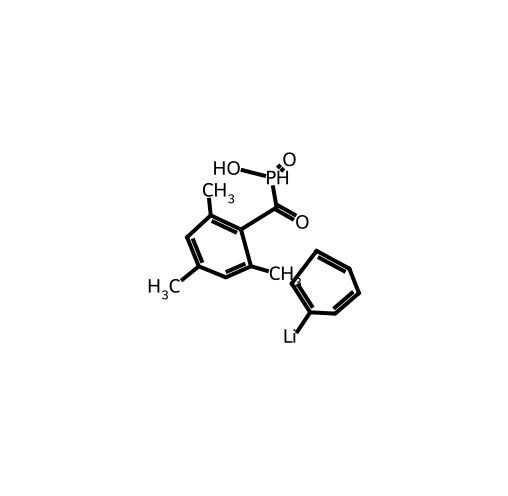 Cc1cc(C)c(C(=O)[PH](=O)O)c(C)c1.[Li][c]1ccccc1